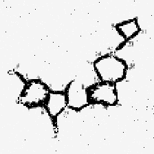 CC1c2cc(Cl)ncc2C(=O)N1Cc1ccc2c(c1)CCN(C1CCC1)CC2